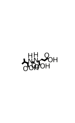 CC(C)C(NC(=O)N[C@@H](CCC(=O)O)C(=O)O)C(=O)O